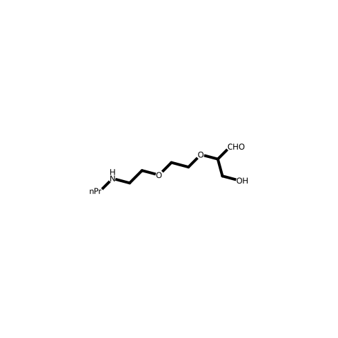 CCCNCCOCCOC(C=O)CO